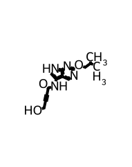 CC(C)COc1ncc2c(NC(=O)C#CCO)c[nH]c2n1